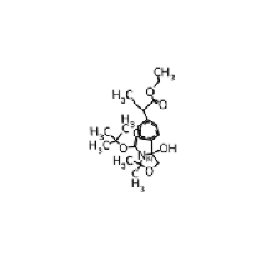 CCOC(=O)C(CC)c1ccc([C@]2(O)COC(C)(C)N2C(=O)OC(C)(C)C)cc1